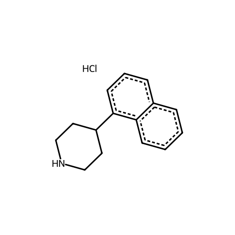 Cl.c1ccc2c(C3CCNCC3)cccc2c1